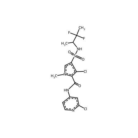 CC(NS(=O)(=O)c1cn(C)c(C(=O)Nc2ccnc(Cl)c2)c1Cl)C(C)(F)F